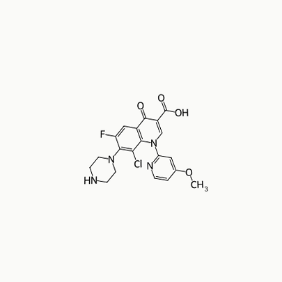 COc1ccnc(-n2cc(C(=O)O)c(=O)c3cc(F)c(N4CCNCC4)c(Cl)c32)c1